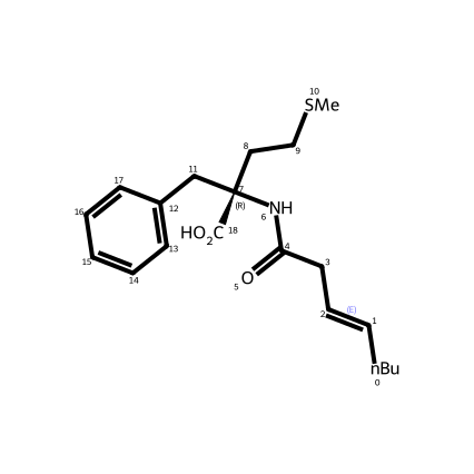 CCCC/C=C/CC(=O)N[C@@](CCSC)(Cc1ccccc1)C(=O)O